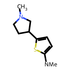 CNc1ccc(C2CCN(C)C2)s1